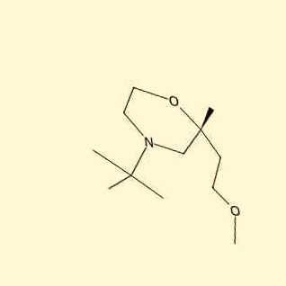 COCC[C@]1(C)CN(C(C)(C)C)CCO1